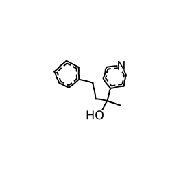 CC(O)(CCc1ccccc1)c1ccncc1